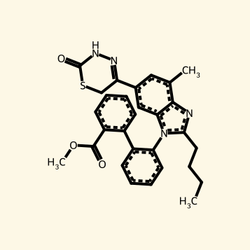 CCCCc1nc2c(C)cc(C3=NNC(=O)SC3)cc2n1-c1ccccc1-c1ccccc1C(=O)OC